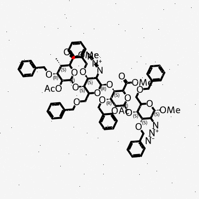 COC(=O)C1O[C@@H](O[C@@H]2C(COCc3ccccc3)O[C@H](O[C@@H]3C(C(=O)OC)O[C@@H](O[C@@H]4C(COCc5ccccc5)O[C@H](OC)C(N=[N+]=[N-])[C@@H]4OCc4ccccc4)C(OC(C)=O)[C@@H]3OCc3ccccc3)C(N=[N+]=[N-])[C@@H]2OCc2ccccc2)C(OC(C)=O)[C@H](OCc2ccccc2)[C@@H]1C